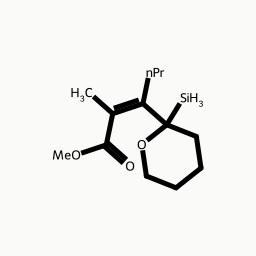 CCCC(=C(C)C(=O)OC)C1([SiH3])CCCCO1